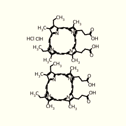 CCC1=C(C)c2cc3[nH]c(cc4nc(cc5[nH]c(cc1n2)c(C)c5CCC(=O)O)C(CCC(=O)O)=C4C)c(C)c3CC.CCC1=C(C)c2cc3[nH]c(cc4nc(cc5[nH]c(cc1n2)c(C)c5CCC(=O)O)C(CCC(=O)O)=C4C)c(C)c3CC.Cl.Cl